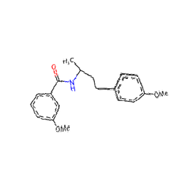 COc1ccc(CCC(C)NC(=O)c2cccc(OC)c2)cc1